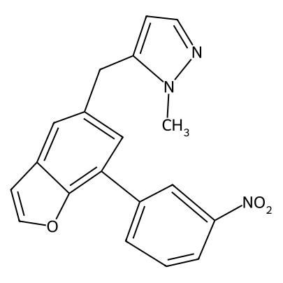 Cn1nccc1Cc1cc(-c2cccc([N+](=O)[O-])c2)c2occc2c1